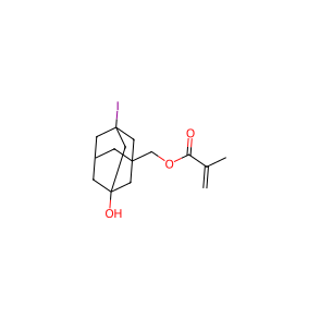 C=C(C)C(=O)OCC12CC3CC(O)(CC(I)(C3)C1)C2